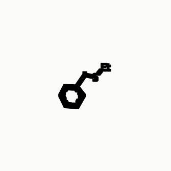 CCS[C]c1ccccc1